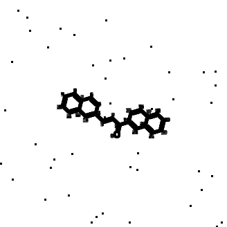 O=C(/C=C/c1ccc2ccccc2c1)c1ccc2ccccc2c1